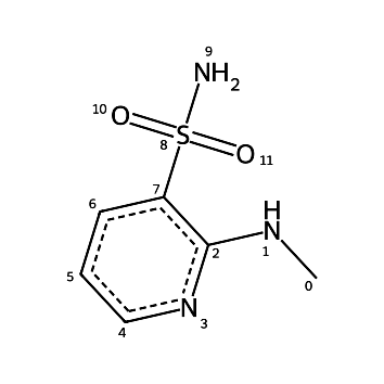 CNc1ncccc1S(N)(=O)=O